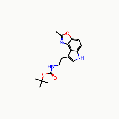 Cc1nc2c(ccc3[nH]cc(CCNC(=O)OC(C)(C)C)c32)o1